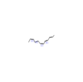 CC=C/C=C/C=C\C=C\C=C/C